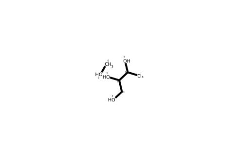 CO.OCC(O)C(O)Cl